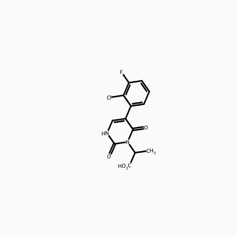 CC(C(=O)O)n1c(=O)[nH]cc(-c2cccc(F)c2Cl)c1=O